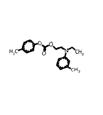 CCN(CCOC(=O)Oc1ccc(C)cc1)c1cccc(C)c1